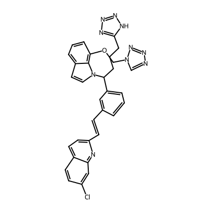 Clc1ccc2ccc(/C=C/c3cccc(C(CCCc4nnn[nH]4)n4ccc5cccc(OCn6cnnn6)c54)c3)nc2c1